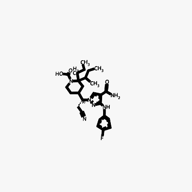 CCC(C)C1(C(C)CC)CC([C@@H](CC#N)n2cc(C(N)=O)c(Nc3ccc(F)cc3)n2)CCN1C(=O)O